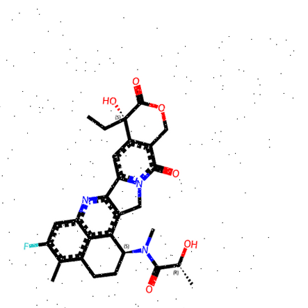 CC[C@@]1(O)C(=O)OCc2c1cc1n(c2=O)Cc2c-1nc1cc(F)c(C)c3c1c2[C@@H](N(C)C(=O)[C@@H](C)O)CC3